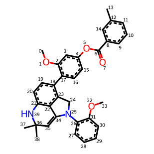 COc1cc(OC(=O)c2cccc(C)c2)ccc1-c1ccc2c3c1CN(c1ccccc1OC)C3=CC(C)(C)N2